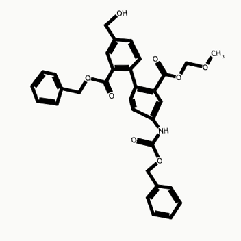 COCOC(=O)c1cc(NC(=O)OCc2ccccc2)ccc1-c1ccc(CO)cc1C(=O)OCc1ccccc1